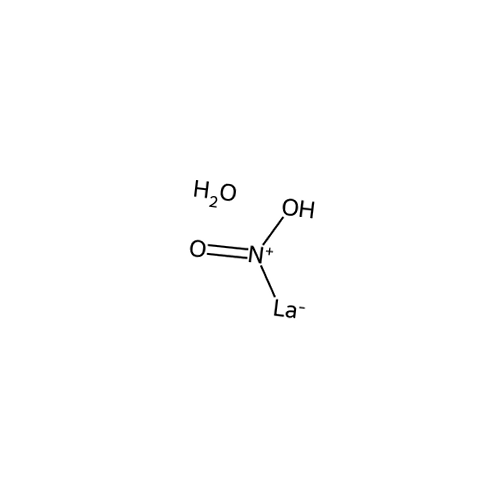 O.O=[N+](O)[La-]